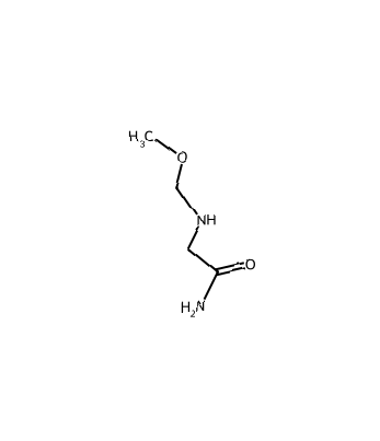 COCNCC(N)=O